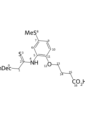 CCCCCCCCCCCC(=S)Nc1cc(SC)ccc1OCCCC(=O)O